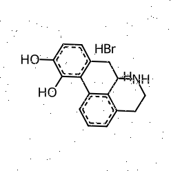 Br.Oc1ccc2c(c1O)-c1cccc3c1[C@@H](C2)NCC3